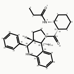 CCC(=O)N[C@@H]1CCCC[C@@H]1C(=O)N1CC[C@H]2[C@H](c3ccccc3)Nc3ccccc3[C@@H]21